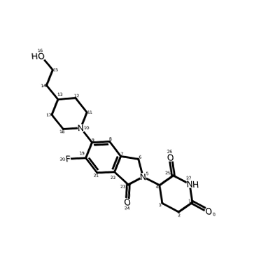 O=C1CCC(N2Cc3cc(N4CCC(CCO)CC4)c(F)cc3C2=O)C(=O)N1